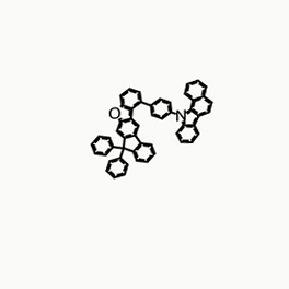 c1ccc(C2(c3ccccc3)c3ccccc3-c3cc4c(cc32)oc2cccc(-c3ccc(-n5c6ccccc6c6ccc7ccccc7c65)cc3)c24)cc1